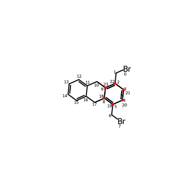 BrCc1ccc(CBr)c2c1C1c3ccccc3C2c2ccccc21